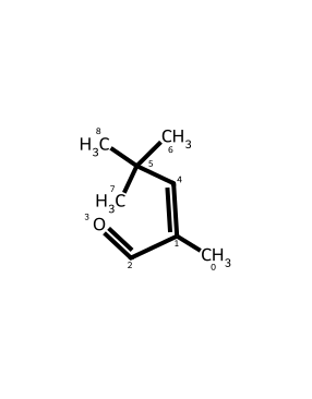 CC(C=O)=CC(C)(C)C